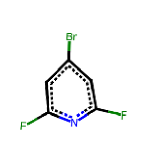 Fc1cc(Br)cc(F)n1